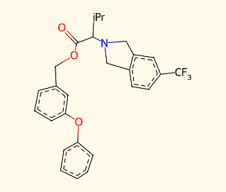 CC(C)C(C(=O)OCc1cccc(Oc2ccccc2)c1)N1Cc2ccc(C(F)(F)F)cc2C1